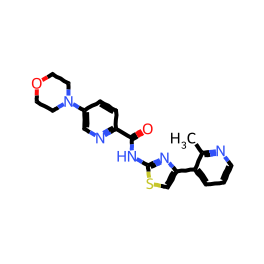 Cc1ncccc1-c1csc(NC(=O)c2ccc(N3CCOCC3)cn2)n1